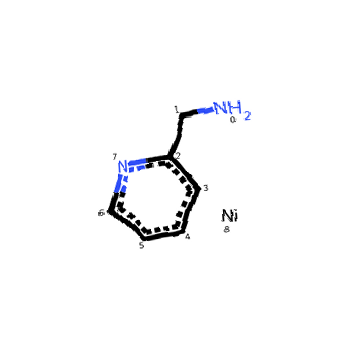 NCc1ccccn1.[Ni]